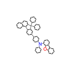 c1ccc(N(c2ccc(-c3ccc4c(c3)C(c3ccccc3)(c3ccccc3)c3ccc5ccccc5c3-4)cc2)c2cccc3c2oc2ccccc23)cc1